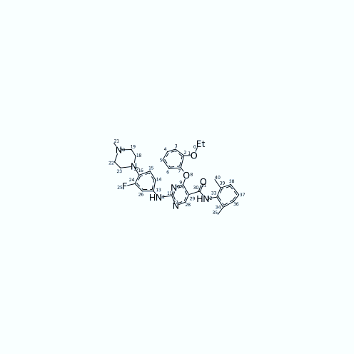 CCOc1ccccc1Oc1nc(Nc2ccc(N3CCN(C)CC3)c(F)c2)ncc1C(=O)Nc1c(C)cccc1C